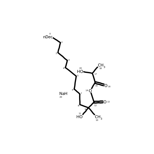 CCCCCCCCCCCCCCCCCCC(C)(O)C(=O)OC(=O)C(C)O.[NaH]